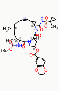 C[C@@H]1CC/C=C\C2C[C@@]2(C(=O)NS(=O)(=O)C2(C)CC2)NC(=O)[C@@H]2C[C@@H](OC(=O)c3ccc4c(c3)OCCO4)CN2C(=O)[C@@H](NC(=O)OC(C)(C)C)[C@H](C)C1